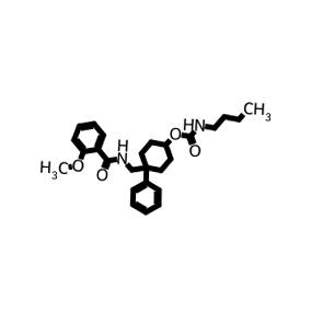 CCCCNC(=O)OC1CCC(CNC(=O)c2ccccc2OC)(c2ccccc2)CC1